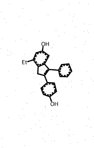 CCc1cc(O)cc2c1CC(c1ccc(O)cc1)=C2c1ccccc1